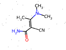 CC(=C(C#N)C(N)=O)N(C)C